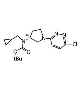 CC(C)(C)OC(=O)N(CC1CC1)[C@@H]1CCN(c2ccc(Cl)nn2)C1